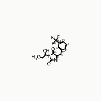 CCC(C)N1C(=O)NC(Cc2cccc(C(F)(F)F)c2)C1=O